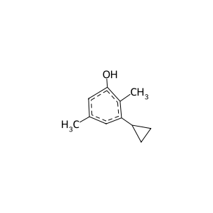 Cc1cc(O)c(C)c(C2CC2)c1